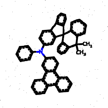 CC1(C)c2ccccc2C2(c3ccccc3-c3ccc(N(c4ccccc4)c4ccc5c6ccccc6c6ccccc6c5c4)cc32)c2ccccc21